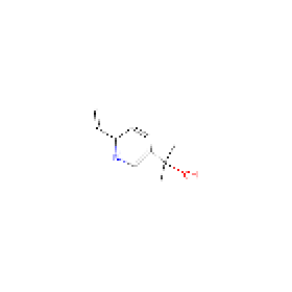 C=Cc1ccc(C(C)(C)O)cn1